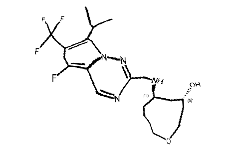 CC(C)c1c(C(F)(F)F)c(F)c2cnc(N[C@@H]3CCOC[C@H]3O)nn12